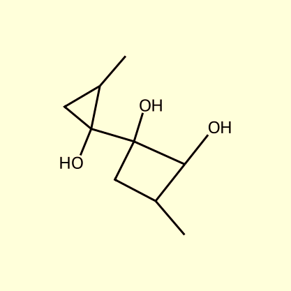 CC1CC(O)(C2(O)CC2C)C1O